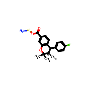 C[C@@H]1C(c2ccc(F)cc2)c2ccc(C(=O)OSN)cc2OC1(C)C